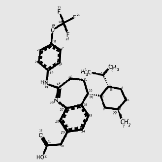 CC(C)[C@@H]1CC[C@@H](C)CC1[C@H]1CCC(Nc2ccc(OC(F)(F)F)cc2)=Nc2cc(CC(=O)O)ccc21